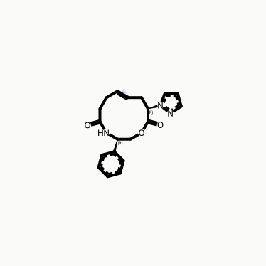 O=C1CC/C=C/C[C@@H](n2cccn2)C(=O)OC[C@@H](c2ccccc2)N1